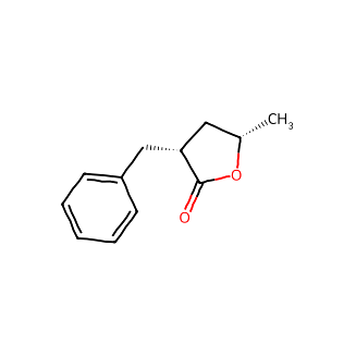 C[C@H]1C[C@@H](Cc2ccccc2)C(=O)O1